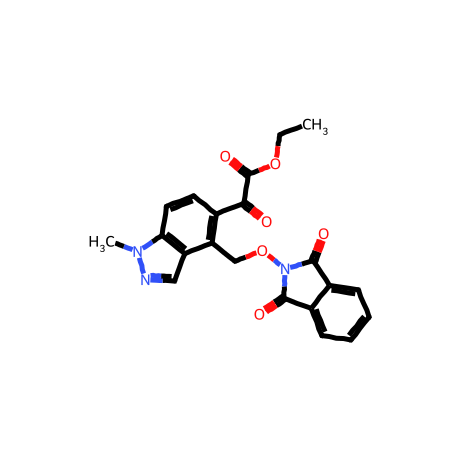 CCOC(=O)C(=O)c1ccc2c(cnn2C)c1CON1C(=O)c2ccccc2C1=O